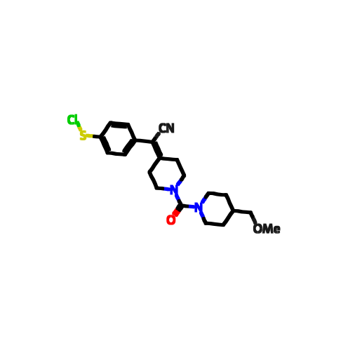 COCC1CCN(C(=O)N2CCC(=C(C#N)c3ccc(SCl)cc3)CC2)CC1